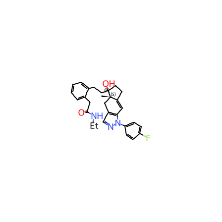 CCNC(=O)Cc1ccccc1CC[C@]1(O)CCC2=Cc3c(cnn3-c3ccc(F)cc3)C[C@@]21C